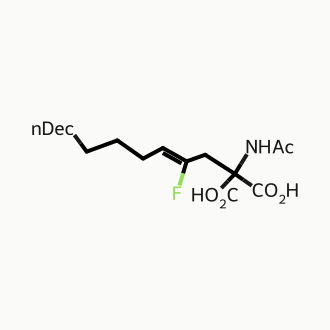 CCCCCCCCCCCCC/C=C(\F)CC(NC(C)=O)(C(=O)O)C(=O)O